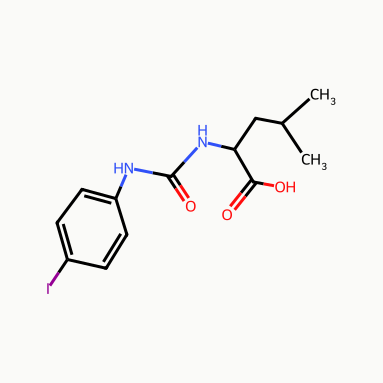 CC(C)CC(NC(=O)Nc1ccc(I)cc1)C(=O)O